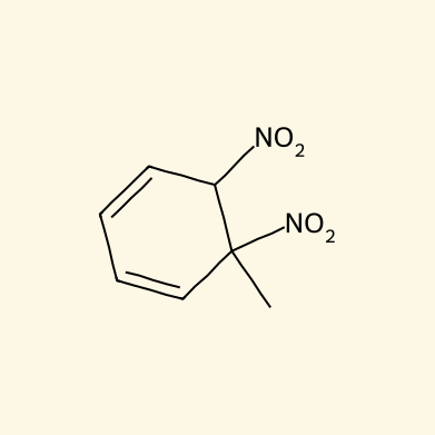 CC1([N+](=O)[O-])C=CC=CC1[N+](=O)[O-]